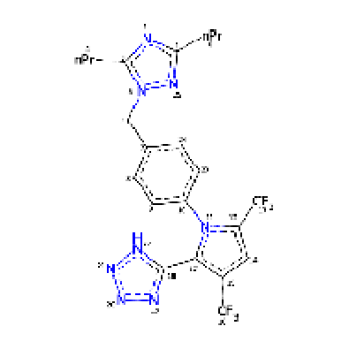 CCCc1nc(CCC)n(Cc2ccc(-n3c(C(F)(F)F)cc(C(F)(F)F)c3-c3nnn[nH]3)cc2)n1